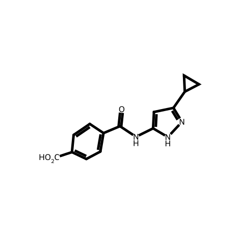 O=C(O)c1ccc(C(=O)Nc2cc(C3CC3)n[nH]2)cc1